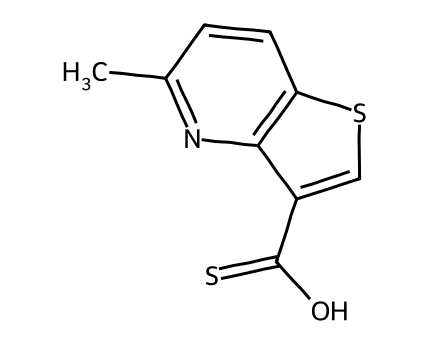 Cc1ccc2scc(C(O)=S)c2n1